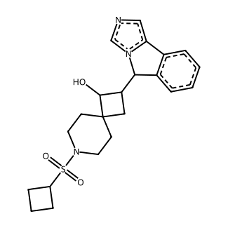 O=S(=O)(C1CCC1)N1CCC2(CC1)CC(C1c3ccccc3-c3cncn31)C2O